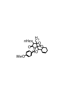 CCCCCCC1C(=O)N(Cc2ccc(OC)cc2)C2(C(O)C3C=CCCC3)C(=O)OC12C